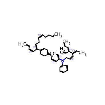 C=C/C=C\C(=C\C/C=C\CCC=C)C1=CC=C(C/C=C\C(=C/C)N(C\C=C/C(=C\C)C(/C=C)=C/C=C)c2ccccc2)CC1